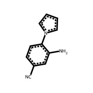 N#Cc1ccc(-n2cccc2)c(N)c1